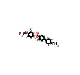 CC1CCC(c2ccc(C(=O)Oc3cc(F)c(OC(F)(F)F)c(F)c3)c(F)c2)CC1